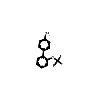 Nc1ccc(-c2ccccc2OC(F)(F)F)cc1